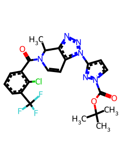 CC1c2nnn(-c3ccn(C(=O)OC(C)(C)C)n3)c2C=CN1C(=O)c1cccc(C(F)(F)F)c1Cl